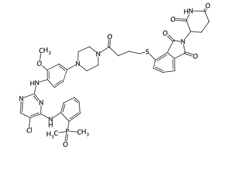 COc1cc(N2CCN(C(=O)CCCSc3cccc4c3C(=O)N(C3CCC(=O)NC3=O)C4=O)CC2)ccc1Nc1ncc(Cl)c(Nc2ccccc2P(C)(C)=O)n1